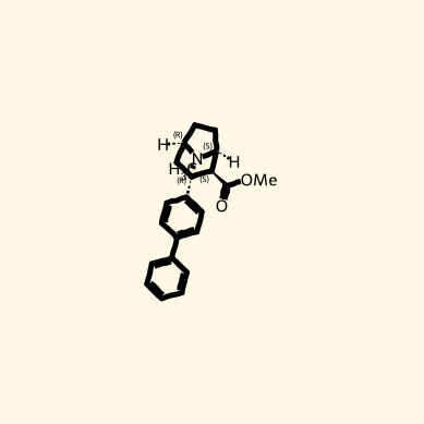 COC(=O)[C@H]1[C@H](c2ccc(-c3ccccc3)cc2)C[C@H]2CC[C@@H]1N2C